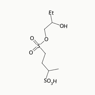 CCC(O)COS(=O)(=O)CCC(C)S(=O)(=O)O